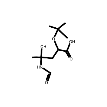 CC(O)(CC(OC(C)(C)C)C(=O)O)NC=O